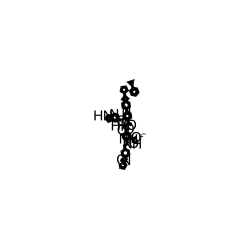 O=C(NS(=O)(=O)c1cnc(NCC2CCC(N=S3(=O)CCCC3)CC2)c([N+](=O)[O-])c1)c1ccc(N2CCC3(CC2)CC(C2CCC[C@H]2c2ccccc2C2CC2)C3)cc1Oc1cnc2[nH]ccc2c1